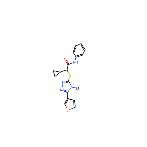 CCn1c(SC(C(=O)Nc2ccccc2)C2CC2)nnc1-c1ccoc1